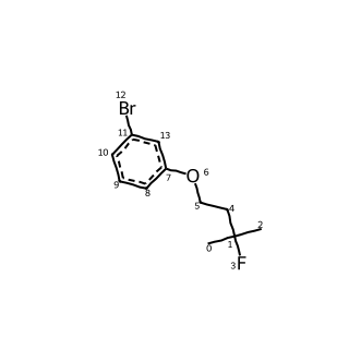 CC(C)(F)CCOc1cccc(Br)c1